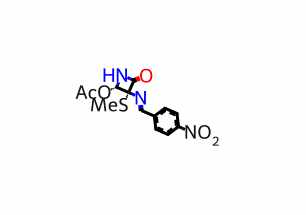 CS[C@@]1(N=Cc2ccc([N+](=O)[O-])cc2)C(=O)N[C@H]1OC(C)=O